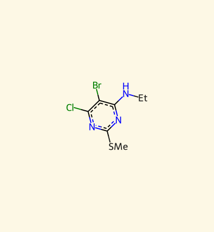 CCNc1nc(SC)nc(Cl)c1Br